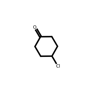 O=C1CCC(Cl)CC1